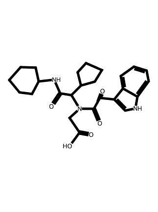 O=C(O)CN(C(=O)C(=O)c1c[nH]c2ccccc12)C(C(=O)NC1CCCCC1)C1CCCC1